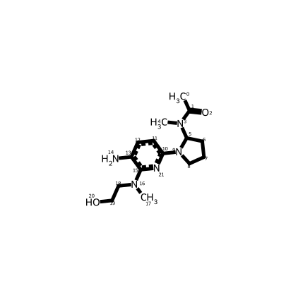 CC(=O)N(C)C1CCCN1c1ccc(N)c(N(C)CCO)n1